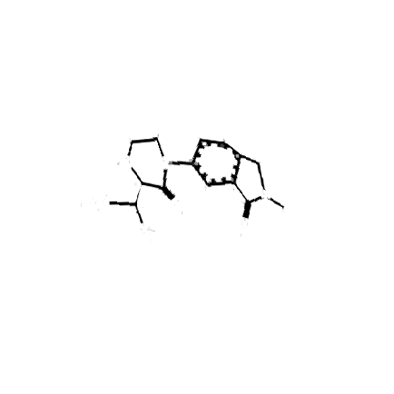 CN1Cc2ccc(N3CCO[C@H](C(O)C(=O)O)C3=O)cc2C1=O